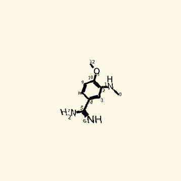 CNc1cc(C(=N)N)ccc1OC